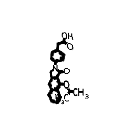 CC(C)Oc1c2c(cc3ccccc13)CN(c1ccc(CC(=O)O)cc1)C2=O